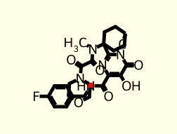 CN(C(=O)C(=O)N1CCOCC1)C12CCC(CC1)Cn1c2nc(C(=O)NCc2ccc(F)cc2)c(O)c1=O